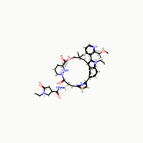 CCN1CC(C(=O)NC[C@H]2Cc3nc(cs3)-c3ccc4c(c3)c(c(-c3cccnc3[C@H](C)OC)n4CC)CC(C)(C)COC(=O)[C@@H]3CCCN(N3)C2=O)CC1=O